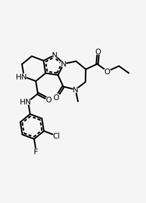 CCOC(=O)C1CN(C)C(=O)c2c3c(nn2C1)CCNC3C(=O)Nc1ccc(F)c(Cl)c1